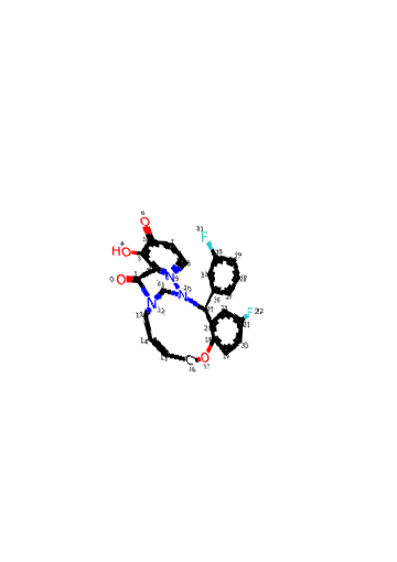 O=C1c2c(O)c(=O)ccn2N2CN1C/C=C\COc1ccc(F)cc1[C@@H]2c1cccc(F)c1